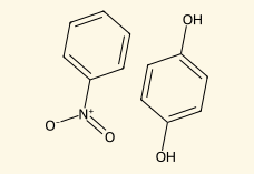 O=[N+]([O-])c1ccccc1.Oc1ccc(O)cc1